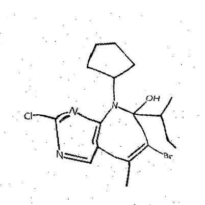 CC1=C(Br)C(O)(C(C)C)N(C2CCCC2)c2nc(Cl)ncc21